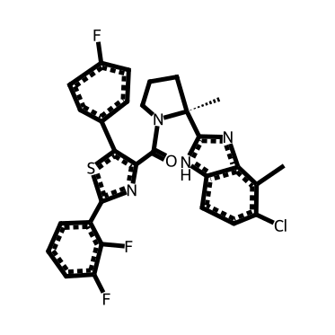 Cc1c(Cl)ccc2[nH]c([C@]3(C)CCCN3C(=O)c3nc(-c4cccc(F)c4F)sc3-c3ccc(F)cc3)nc12